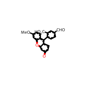 COc1ccc2c(-c3ccc(C=O)cc3C(=O)O)c3ccc(=O)cc-3oc2c1